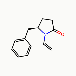 C=CN1C(=O)CC[C@@H]1Cc1ccccc1